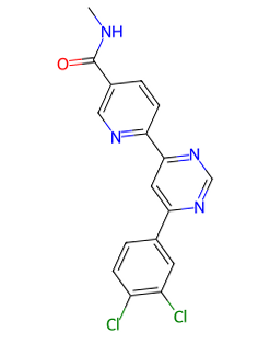 CNC(=O)c1ccc(-c2cc(-c3ccc(Cl)c(Cl)c3)ncn2)nc1